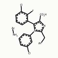 CC(C)Cc1nc(C(=O)O)c(-c2cccc(Cl)c2F)n1-c1cccc(Cl)c1.CC(N)=O